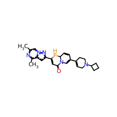 Cc1cn2nc(C3=CC(=O)N4C=C(C5=CCN(C6CCC6)CC5)C=CC4P3)cc2c(C)n1